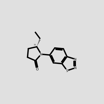 CC[C@H]1CCC(=O)N1c1ccc2nnsc2c1